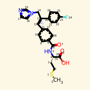 CSCC[C@H](NC(=O)c1ccc(/C=C(/Cn2ccnc2)c2ccc(F)cc2)cc1)C(=O)O